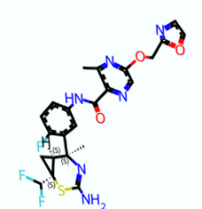 Cc1nc(OCc2ncco2)cnc1C(=O)Nc1ccc(F)c([C@@]2(C)N=C(N)S[C@@]3(C(F)F)C[C@@H]23)c1